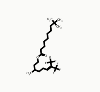 CC(CCC=C(C(F)(F)F)C(F)(F)F)CCOC(=O)CCCCCCCC(C)(C)C